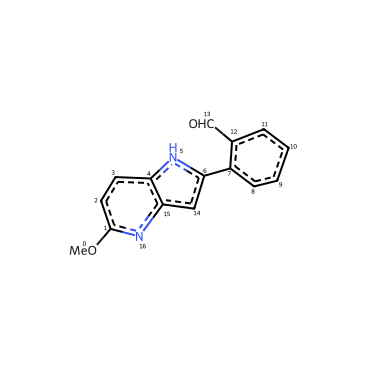 COc1ccc2[nH]c(-c3ccccc3C=O)cc2n1